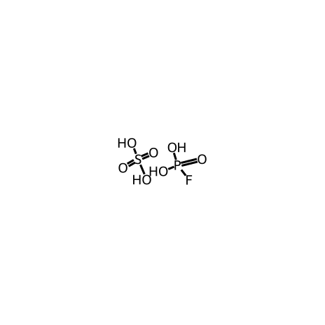 O=P(O)(O)F.O=S(=O)(O)O